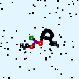 COP(Cl)Oc1ccccc1C